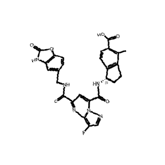 Cc1c(C(=O)O)ccc2c1CC[C@@H]2NC(=O)c1cc(C(=O)NCc2ccc3oc(=O)[nH]c3c2)nc2c(F)cnn12